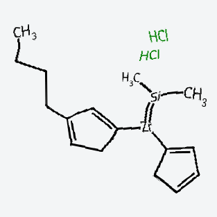 CCCCC1=CC[C]([Zr]([C]2=CC=CC2)=[Si](C)C)=C1.Cl.Cl